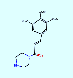 COc1cc(/C=C/C(=O)N2CCNCC2)cc(OC)c1OC